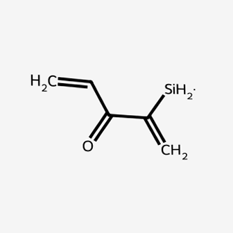 C=CC(=O)C(=C)[SiH2]